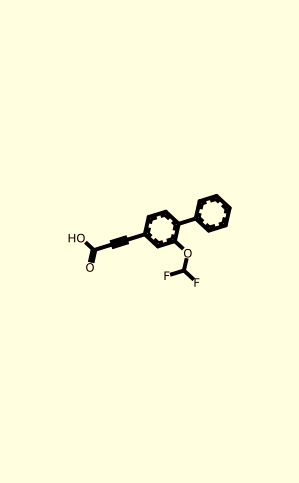 O=C(O)C#Cc1ccc(-c2ccccc2)c(OC(F)F)c1